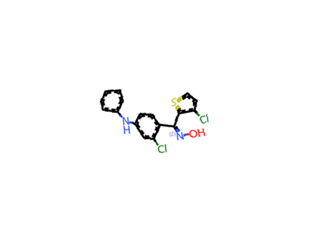 O/N=C(/c1ccc(Nc2ccccc2)cc1Cl)c1sccc1Cl